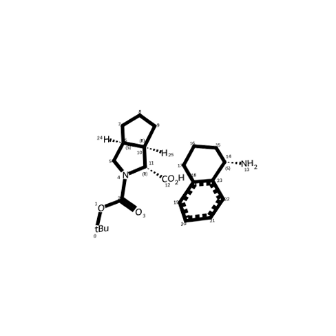 CC(C)(C)OC(=O)N1C[C@H]2CCC[C@H]2[C@@H]1C(=O)O.N[C@H]1CCCc2ccccc21